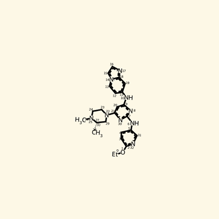 CCOc1ccc(Nc2nc(Nc3ccn4ccnc4c3)cc(N3CCN(C)[C@@H](C)C3)n2)cn1